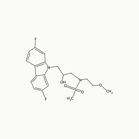 COCCN(CC(O)Cn1c2cc(F)ccc2c2ccc(F)cc21)S(C)(=O)=O